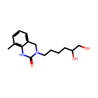 Cc1cccc2c1NC(=O)N(CCCCC(O)CO)C2